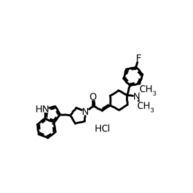 CN(C)C1(c2ccc(F)cc2)CCC(=CC(=O)N2CCC(c3c[nH]c4ccccc34)C2)CC1.Cl